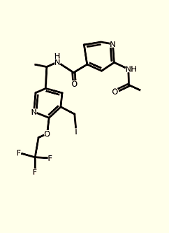 CC(=O)Nc1cc(C(=O)NC(C)c2cnc(OCC(F)(F)F)c(CI)c2)ccn1